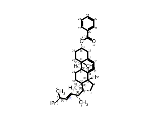 CC(C)[C@@H](C)/C=C/[C@@H](C)[C@H]1CC[C@H]2C3=CC=C4C[C@@H](OC(=O)c5ccccc5)CC[C@@]4(C)[C@@H]3CC[C@]12C